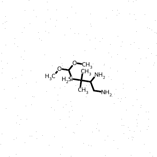 COC(OC)[SiH2]C(C)(C)C(N)CN